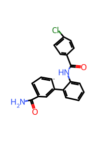 NC(=O)c1cc[c]c(-c2ccccc2NC(=O)c2ccc(Cl)cc2)c1